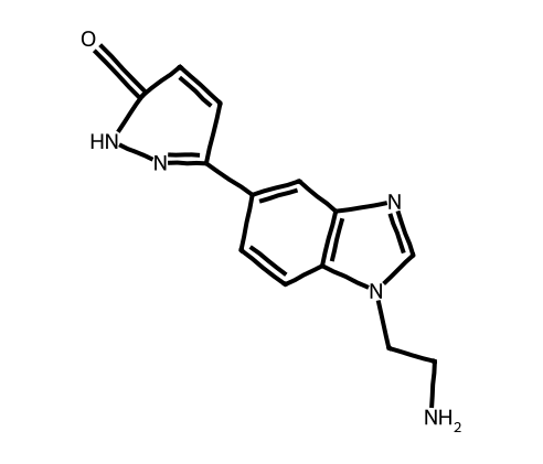 NCCn1cnc2cc(-c3ccc(=O)[nH]n3)ccc21